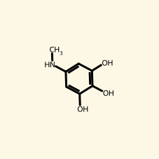 CNc1cc(O)c(O)c(O)c1